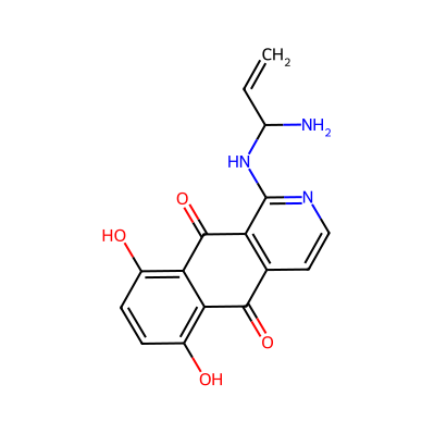 C=CC(N)Nc1nccc2c1C(=O)c1c(O)ccc(O)c1C2=O